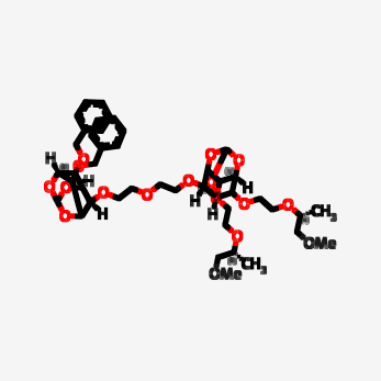 COC[C@@H](C)OCCOC1C2OC3O[C@@H]1C(OCCO[C@H](C)COC)[C@@H](O3)[C@@H]2OCCOCCO[C@H]1C2OC3OC1[C@H](OCc1ccccc1)[C@H](O3)C2OCc1ccccc1